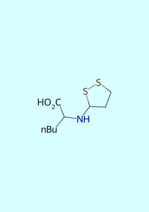 CCCCC(NC1CCSS1)C(=O)O